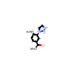 COC(=O)c1ccc(NC(C)=O)c(-n2ccnn2)c1